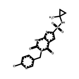 CC1(NS(=O)(=O)c2cc3c(=O)n(Cc4ccc(Cl)nc4)c(=O)[nH]c3s2)CC1